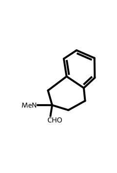 CNC1(C=O)CCc2ccccc2C1